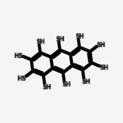 Sc1c(S)c(S)c2c(S)c3c(S)c(S)c(S)c(S)c3c(S)c2c1S